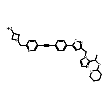 CC(OC1CCCCO1)c1nccn1Cc1cc(-c2ccc(C#Cc3ccc(CN4CC(O)C4)nc3)cc2)on1